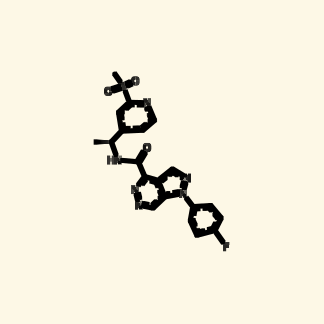 C[C@H](NC(=O)c1nncc2c1cnn2-c1ccc(F)cc1)c1ccnc(S(C)(=O)=O)c1